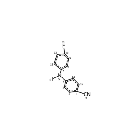 N#Cc1ccc(N(I)c2ccc(F)cc2)cc1